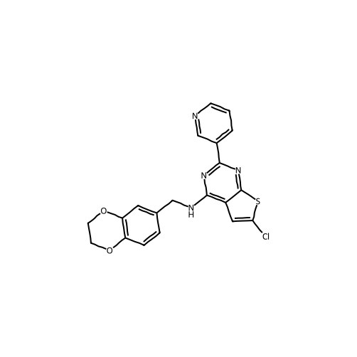 Clc1cc2c(NCc3ccc4c(c3)OCCO4)nc(-c3cccnc3)nc2s1